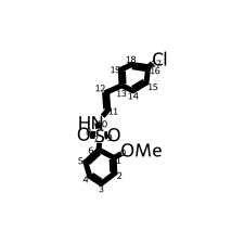 COc1ccccc1S(=O)(=O)N/C=C/c1ccc(Cl)cc1